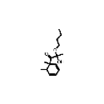 CCCCOC(C)(O)C(=O)C1(C)C=CC=CC1C